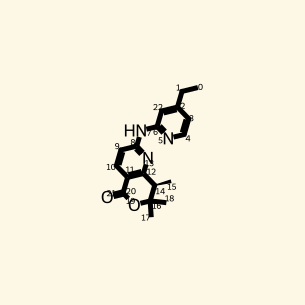 CCc1ccnc(Nc2ccc3c(n2)[C@@H](C)C(C)(C)OC3=O)c1